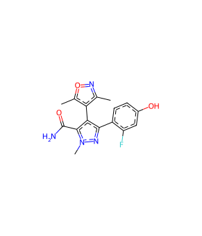 Cc1noc(C)c1-c1c(-c2ccc(O)cc2F)nn(C)c1C(N)=O